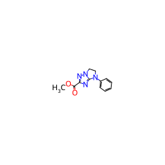 COC(=O)c1nc2n(n1)CCN2c1ccccc1